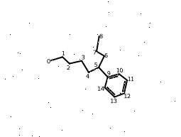 CCCCCC(CCC)c1cc[c]cc1